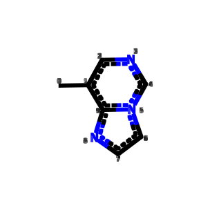 Cc1cncn2ccnc12